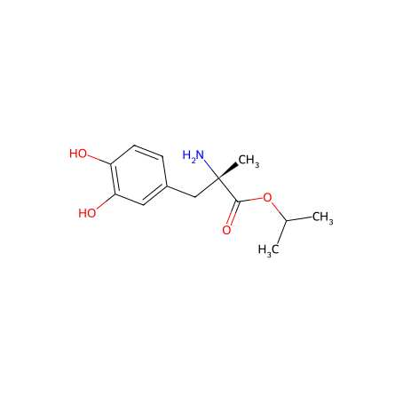 CC(C)OC(=O)[C@@](C)(N)Cc1ccc(O)c(O)c1